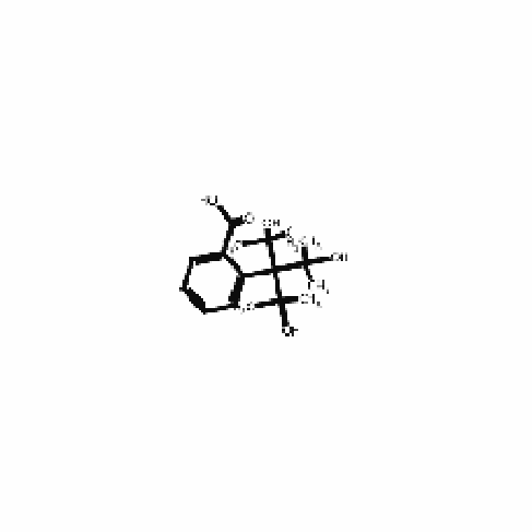 CC(C)(O)C(c1ccccc1C(=O)O)(C(C)(C)O)C(C)(C)O